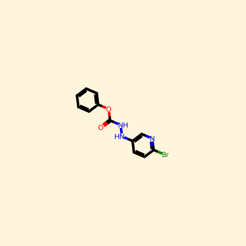 O=C(NNc1ccc(Br)nc1)Oc1ccccc1